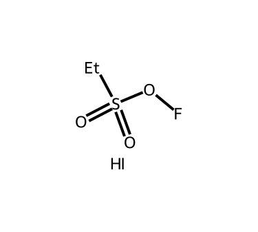 CCS(=O)(=O)OF.I